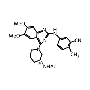 COc1cc2nc(Nc3ccc(C)c(C#N)c3)nc(N3CCC[C@@H](NC(C)=O)C3)c2cc1OC